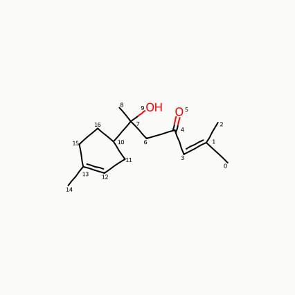 CC(C)=CC(=O)CC(C)(O)C1CC=C(C)CC1